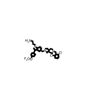 NCCCn1cc(-c2ccc(OC(F)(F)F)cc2)c2cc(CN3CCC4(CCN(Cc5c(Cl)cccc5Cl)CC4)C3)ccc21